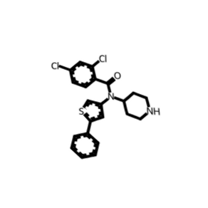 O=C(c1ccc(Cl)cc1Cl)N(c1csc(-c2ccccc2)c1)C1CCNCC1